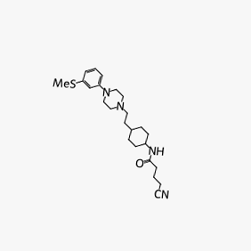 CSc1cccc(N2CCN(CCC3CCC(NC(=O)CCCC#N)CC3)CC2)c1